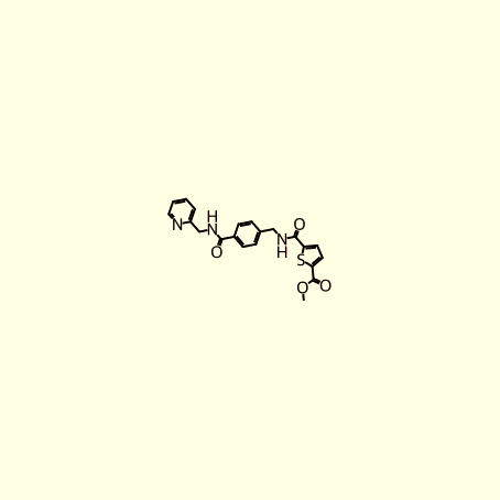 COC(=O)c1ccc(C(=O)NCc2ccc(C(=O)NCc3ccccn3)cc2)s1